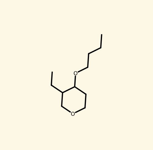 CCCCOC1CCOCC1CC